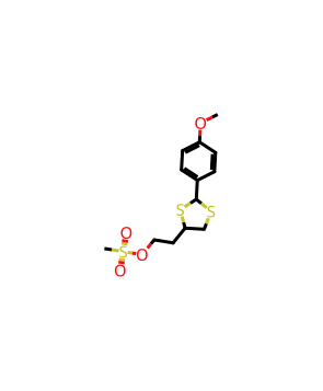 COc1ccc(C2SCC(CCOS(C)(=O)=O)S2)cc1